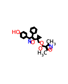 Cc1noc(C)c1C(=O)OCC1(c2onc(-c3ccc(O)cc3)c2-c2ccccc2)CC1